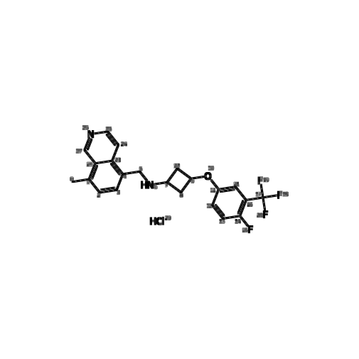 Cc1ccc(CNC2CC(Oc3ccc(F)c(C(F)(F)F)c3)C2)c2ccncc12.Cl